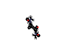 N#CC(C#N)=C1/C(=C/c2cc3c(s2)C2=CC4C=C5C(=CC4C=C2C2(CCCCC2)O3)c2sc(/C=C3\C(=O)c4ccccc4\C3=C(\C#N)C(F)(F)F)cc2OC52CCCCC2)C(=O)c2ccccc21